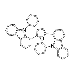 c1ccc(-n2c3ccccc3c3cccc(-c4ccc(-c5cccc6c7ccccc7n(-c7ccccc7)c56)o4)c32)cc1